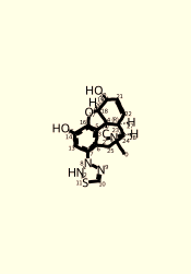 CN1CC[C@]23c4c5c(N6N=CSN6)cc(O)c4O[C@H]2[C@@H](O)C=C[C@H]3[C@H]1C5